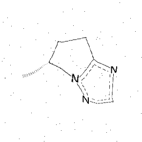 C[C@@H]1CCc2ncnn21